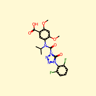 COc1cc(OC)c(N(C(=O)n2nnn(-c3c(F)cccc3F)c2=O)C(C)C)cc1C(=O)O